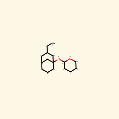 N#CCC1CC2CCCC(OC3CCCCO3)(C1)C2